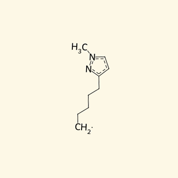 [CH2]CCCCc1ccn(C)n1